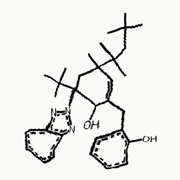 CC(C)(C)CC(C)(C)C1(C)C=C(Cc2ccccc2O)C(O)C(n2nc3ccccc3n2)(C(C)(C)C)C1